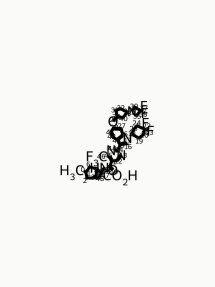 CC1CC2CC(C1)C(NC(=O)c1cnc(-c3cn(C4CCC(F)(F)CC4)c4cc(OC5CCC(N6CC(F)(F)C6)C5)ccc34)nc1C(F)(F)F)(C(=O)O)C2